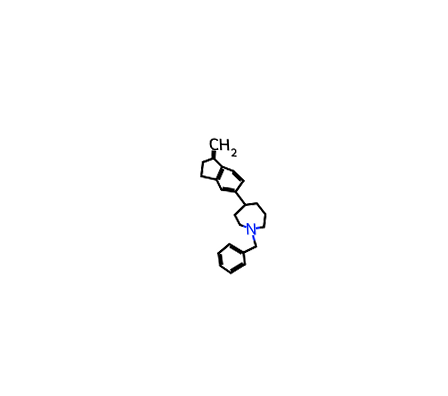 C=C1CCc2cc(C3CCCN(Cc4ccccc4)CC3)ccc21